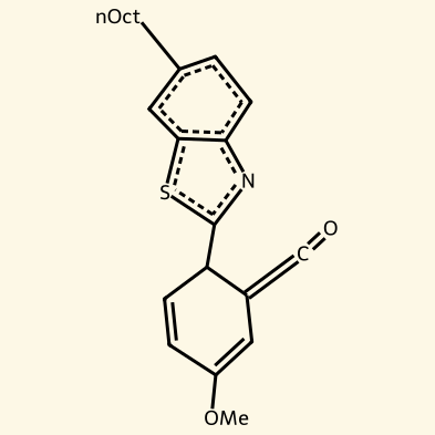 CCCCCCCCc1ccc2nc(C3C=CC(OC)=CC3=C=O)sc2c1